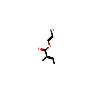 CC=C(C)C(=O)OC=CCCC